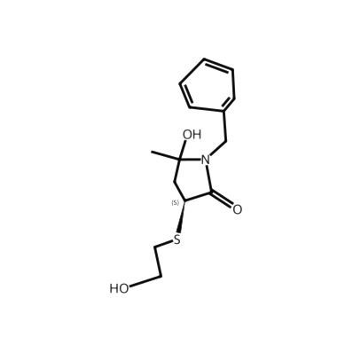 CC1(O)C[C@H](SCCO)C(=O)N1Cc1ccccc1